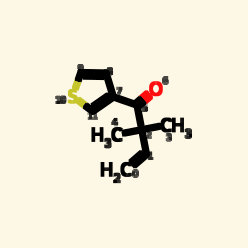 C=CC(C)(C)C(=O)c1ccsc1